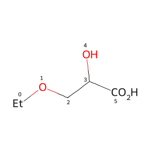 CCOCC(O)C(=O)O